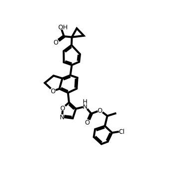 CC(OC(=O)Nc1cnoc1-c1ccc(-c2ccc(C3(C(=O)O)CC3)cc2)c2c1OCC2)c1ccccc1Cl